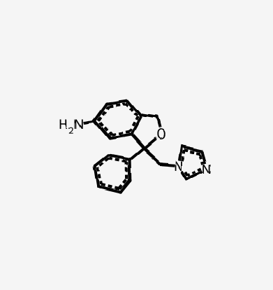 Nc1ccc2c(c1)C(Cn1ccnc1)(c1ccccc1)OC2